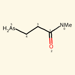 CNC(=O)CC[AsH2]